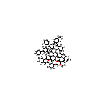 CC(C)(C)c1ccc2c3ccc(C(C)(C)C)cc3n(-c3cccc(-c4cccc5c4sc4ccccc45)c3-c3ccc4c(c3)B3c5ccc(-c6ccccc6)cc5N(c5c(-c6ccccc6)cccc5-c5ccccc5)c5cc(-c6ccccc6)cc(c53)N4c3cc(-c4ccccc4)cc(-c4ccccc4)c3)c2c1